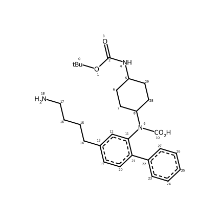 CC(C)(C)OC(=O)NC1CCC(N(C(=O)O)c2cc(CCCCN)ccc2-c2ccccc2)CC1